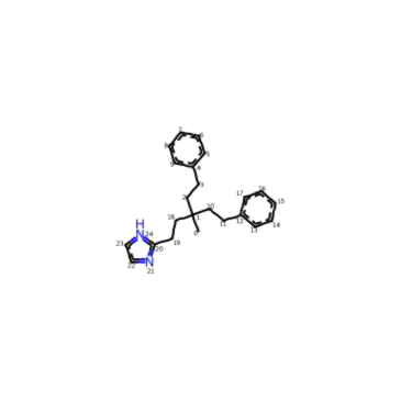 CC(CCc1ccccc1)(CCc1ccccc1)CCc1ncc[nH]1